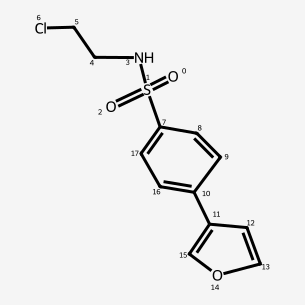 O=S(=O)(NCCCl)c1ccc(-c2ccoc2)cc1